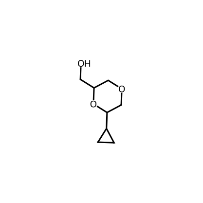 OCC1COCC(C2CC2)O1